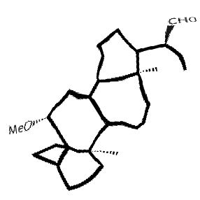 CO[C@@H]1CC2C3CCC([C@H](C)C=O)[C@@]3(C)CCC2[C@@]2(C)CCC3CC312